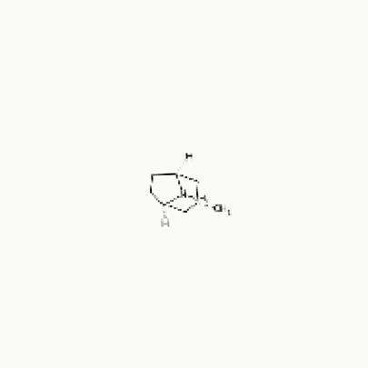 C[C@@H]1C[C@H]2CC[C@@H](C1)N2C